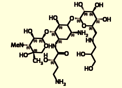 CN[C@@H]1[C@@H](O)[C@@H](O[C@H]2[C@H](NC(=O)[C@@H](O)CCN)C[C@H](N)C(O[C@H]3O[C@H](CNCC(O)CO)[C@@H](O)[C@H](O)[C@H]3O)[C@@H]2O)OC[C@]1(C)O